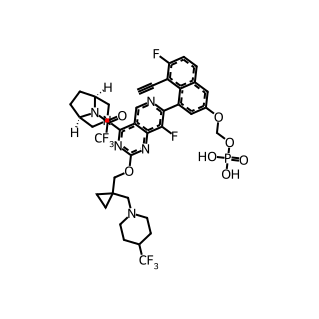 C#Cc1c(F)ccc2cc(OCOP(=O)(O)O)cc(-c3ncc4c(N5C[C@H]6CC[C@@H](C5)N6C(=O)C(F)(F)F)nc(OCC5(CN6CCC(C(F)(F)F)CC6)CC5)nc4c3F)c12